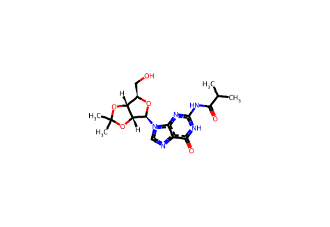 CC(C)C(=O)Nc1nc2c(ncn2[C@@H]2O[C@H](CO)[C@H]3OC(C)(C)O[C@H]32)c(=O)[nH]1